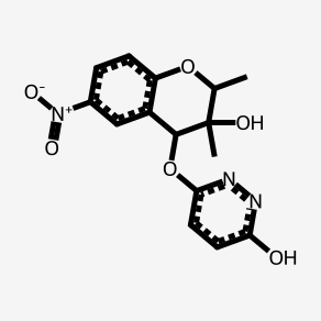 CC1Oc2ccc([N+](=O)[O-])cc2C(Oc2ccc(O)nn2)C1(C)O